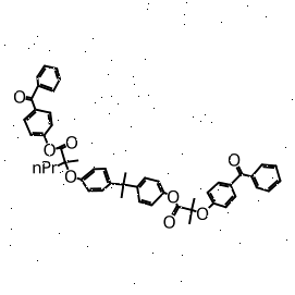 CCCC(C)(Oc1ccc(C(C)(C)c2ccc(OC(=O)C(C)(C)Oc3ccc(C(=O)c4ccccc4)cc3)cc2)cc1)C(=O)Oc1ccc(C(=O)c2ccccc2)cc1